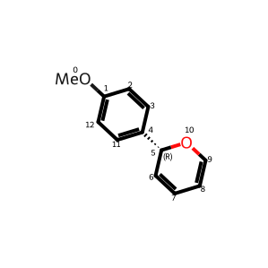 COc1ccc([C@H]2C=CC=CO2)cc1